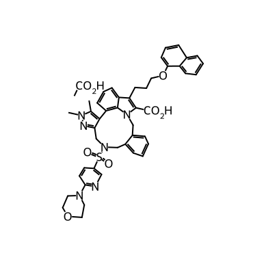 CC(=O)O.Cc1c2c(nn1C)CN(S(=O)(=O)c1ccc(N3CCOCC3)nc1)Cc1ccccc1Cn1c(C(=O)O)c(CCCOc3cccc4ccccc34)c3cccc-2c31